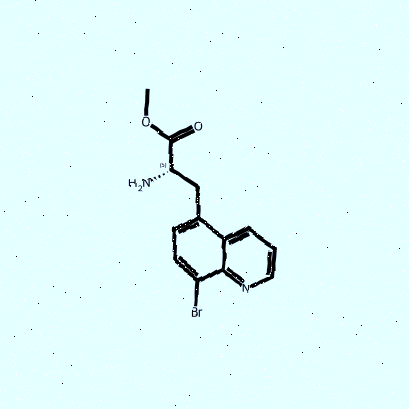 COC(=O)[C@@H](N)Cc1ccc(Br)c2ncccc12